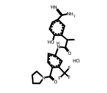 CC(C(=O)Nc1ccc(C(=O)N2CCCC2)c(C(F)(F)F)c1)c1cc(C(=N)N)ccc1O.Cl